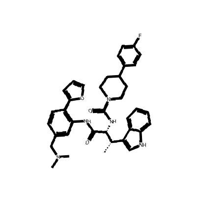 C[C@@H](c1c[nH]c2ccccc12)[C@@H](NC(=O)N1CCC(c2ccc(F)cc2)CC1)C(=O)Nc1cc(CN(C)C)ccc1-c1ccco1